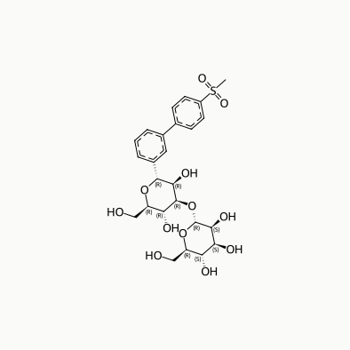 CS(=O)(=O)c1ccc(-c2cccc([C@H]3O[C@H](CO)[C@@H](O)[C@H](O[C@H]4O[C@H](CO)[C@@H](O)[C@H](O)[C@@H]4O)[C@@H]3O)c2)cc1